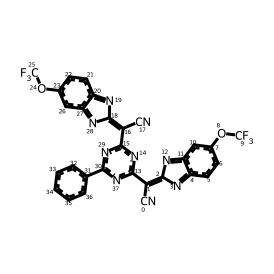 N#C/C(=C1\N=c2ccc(OC(F)(F)F)cc2=N1)c1nc(/C(C#N)=C2/N=c3ccc(OC(F)(F)F)cc3=N2)nc(-c2ccccc2)n1